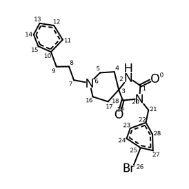 O=C1NC2(CCN(CCCc3ccccc3)CC2)C(=O)N1Cc1ccc(Br)cc1